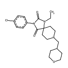 CCN1C(=O)N(c2ccc(Cl)cc2)C(=O)C12CCN(CC1CCOCC1)CC2